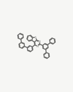 c1ccc(-c2cccc(-c3cccc(-c4nc(-c5cc(-c6ccccc6)cc(-c6ccccc6)c5)nc5sc6ccccc6c45)c3)c2)cc1